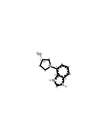 [2H][C@H]1CCN(c2cccc3scnc23)C1